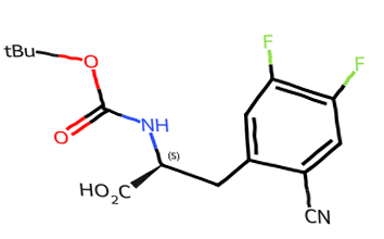 CC(C)(C)OC(=O)N[C@@H](Cc1cc(F)c(F)cc1C#N)C(=O)O